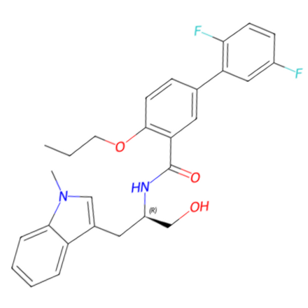 CCCOc1ccc(-c2cc(F)ccc2F)cc1C(=O)N[C@@H](CO)Cc1cn(C)c2ccccc12